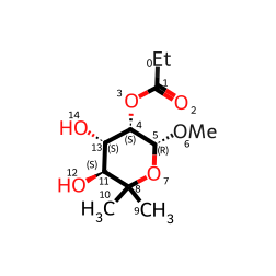 CCC(=O)O[C@@H]1[C@H](OC)OC(C)(C)[C@@H](O)[C@@H]1O